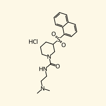 CN(C)CCNC(=O)N1CCCC(S(=O)(=O)c2cccc3ccccc23)C1.Cl